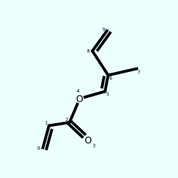 C=CC(=O)OC=C(C)C=C